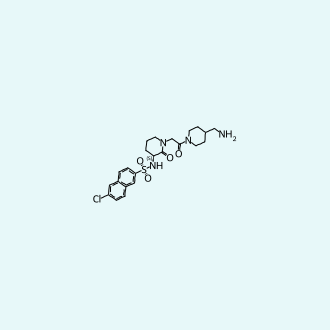 NCC1CCN(C(=O)CN2CCC[C@H](NS(=O)(=O)c3ccc4cc(Cl)ccc4c3)C2=O)CC1